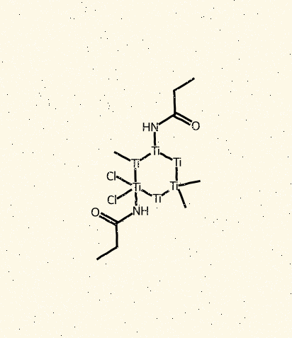 CCC(=O)[NH][Ti]1[Ti][Ti]([CH3])([CH3])[Ti][Ti]([Cl])([Cl])([NH]C(=O)CC)[Ti]1[CH3]